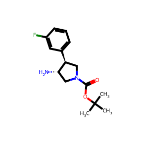 CC(C)(C)OC(=O)N1C[C@H](c2cccc(F)c2)[C@@H](N)C1